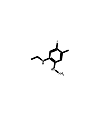 CCNc1cc(F)c(C)cc1NN